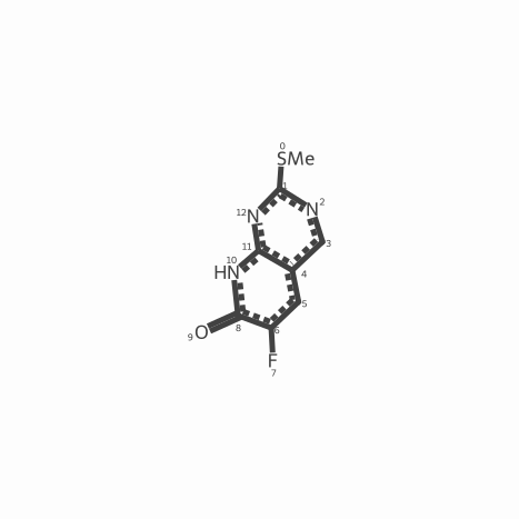 CSc1ncc2cc(F)c(=O)[nH]c2n1